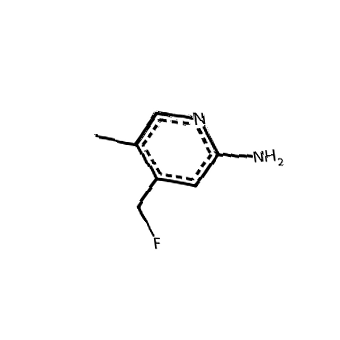 Cc1cnc(N)cc1CF